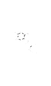 CNC(=O)OCc1cnc(Cl)nc1Cl